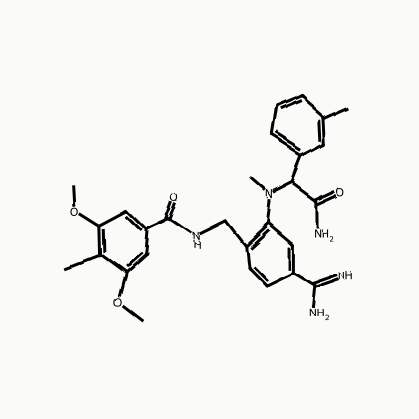 COc1cc(C(=O)NCc2ccc(C(=N)N)cc2N(C)C(C(N)=O)c2cccc(C)c2)cc(OC)c1C